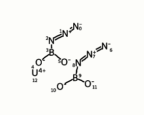 [N-]=[N+]=NB([O-])[O-].[N-]=[N+]=NB([O-])[O-].[U+4]